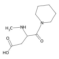 CNC(CC(=O)O)C(=O)N1CCCCC1